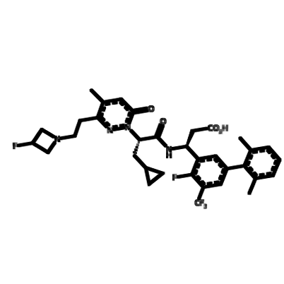 Cc1cc(=O)n([C@@H](CC2CC2)C(=O)N[C@@H](CC(=O)O)c2cc(-c3c(C)cccc3C)cc(C(F)(F)F)c2F)nc1CCN1CC(F)C1